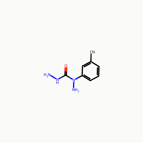 N#Cc1cccc(N(N)C(=O)NN)c1